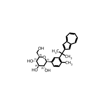 Cc1ccc([C@@H]2O[C@H](CO)[C@@H](O)[C@H](O)[C@H]2O)cc1C(C)(C)c1cc2cccccc-2c1